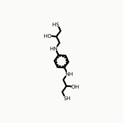 OC(CS)CNc1ccc(NCC(O)CS)cc1